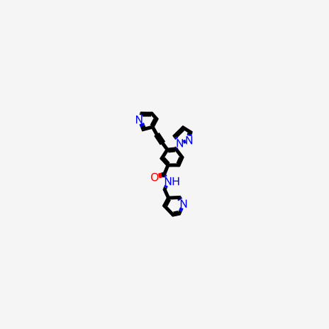 O=C(NCc1cccnc1)c1ccc(-n2cccn2)c(C#Cc2cccnc2)c1